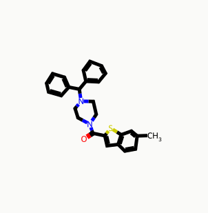 Cc1ccc2cc(C(=O)N3CCN(C(c4ccccc4)c4ccccc4)CC3)sc2c1